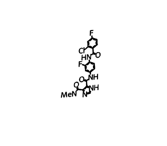 CNC(=O)c1nc[nH]c1C(=O)Nc1ccc(NC(=O)c2ccc(F)cc2Cl)c(F)c1